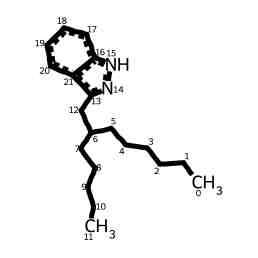 CCCCCCC(CCCCC)Cc1n[nH]c2ccccc12